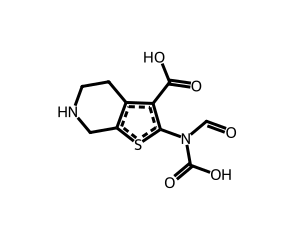 O=CN(C(=O)O)c1sc2c(c1C(=O)O)CCNC2